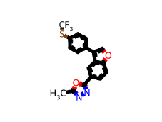 Cc1nnc(-c2ccc3occ(-c4ccc(SC(F)(F)F)cc4)c3c2)o1